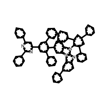 c1ccc(-c2cc(-c3ccccc3)c(-n3c4ccc(-c5c(-c6ccccc6)cc(-c6cc(-c7ccccc7)nc(-c7ccccc7)n6)cc5-c5ccccc5)cc4n4c5cc(-c6ccccc6)ccc5nc34)c(-c3ccccc3)c2)cc1